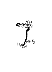 CN/C(N)=C/C=C(\N)CCCCC1=NNC(NC(=O)Cc2ccccn2)S1